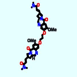 COc1cc2c(cc1OCCCOc1cc3c(cc1OC)C(=O)N1C=C(/C=C/C(=O)N(C)C)C[C@H]1C=N3)N=CC1CC(/C=C/C(=O)N(C)C)=CN1C2=O